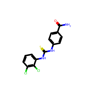 NC(=O)c1ccc(NC(=S)Nc2cccc(Cl)c2Cl)cc1